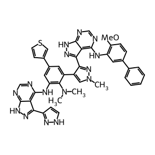 COc1ccc(-c2ccccc2)cc1Nc1ncnc2[nH]nc(-c3nn(C)cc3-c3cc(-c4ccsc4)cc(Nc4ncnc5[nH]nc(-c6cc[nH]n6)c45)c3N(C)C)c12